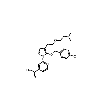 CN(C)CCOCCc1cnn(-c2cc(C(=O)O)ccn2)c1OCc1ccc(Cl)cc1